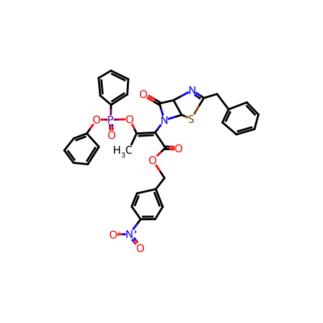 CC(OP(=O)(Oc1ccccc1)c1ccccc1)=C(C(=O)OCc1ccc([N+](=O)[O-])cc1)N1C(=O)C2N=C(Cc3ccccc3)SC21